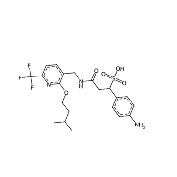 CC(C)CCOc1nc(C(F)(F)F)ccc1CNC(=O)CC(c1ccc(N)cc1)S(=O)(=O)O